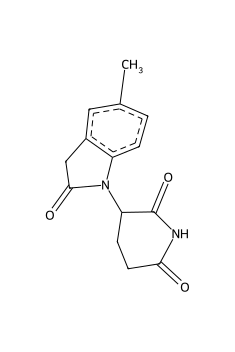 Cc1ccc2c(c1)CC(=O)N2C1CCC(=O)NC1=O